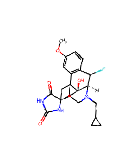 COc1ccc2c(c1)[C@]13CCN(CC4CC4)[C@H]([C@@H]2F)[C@]1(O)CC[C@@]1(C3)NC(=O)NC1=O